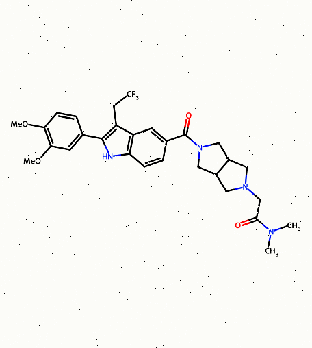 COc1ccc(-c2[nH]c3ccc(C(=O)N4CC5CN(CC(=O)N(C)C)CC5C4)cc3c2CC(F)(F)F)cc1OC